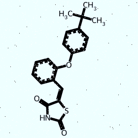 CC(C)(C)c1ccc(Oc2ccccc2C=C2SC(=O)NC2=O)cc1